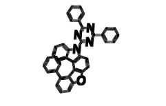 c1ccc(-c2nc(-c3ccccc3)nc(-n3c4ccccc4c4c5c(ccc43)oc3cccc(-c4ccccc4)c35)n2)cc1